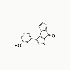 O=C1c2scc(-c3cccc(O)c3)c2-n2cccc21